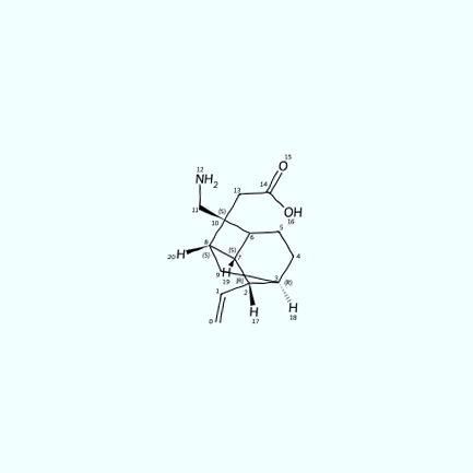 C=C[C@H]1[C@@H]2CCC3[C@H]1[C@H](C2)[C@]3(CN)CC(=O)O